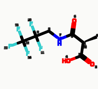 C[C@H](C(=O)O)C(=O)NCC(F)(F)C(F)(F)F